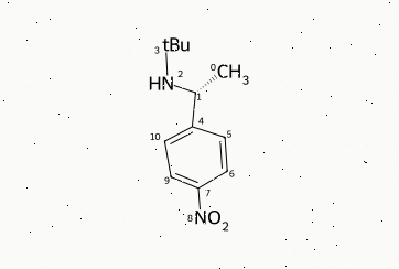 C[C@@H](NC(C)(C)C)c1ccc([N+](=O)[O-])cc1